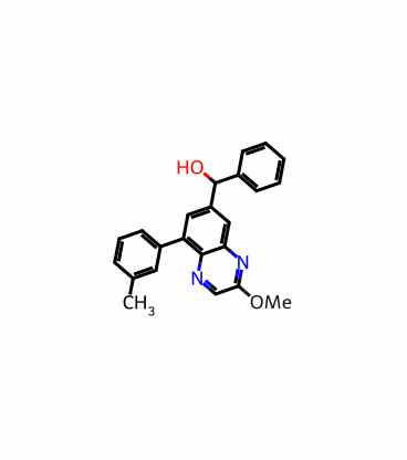 COc1cnc2c(-c3cccc(C)c3)cc(C(O)c3ccccc3)cc2n1